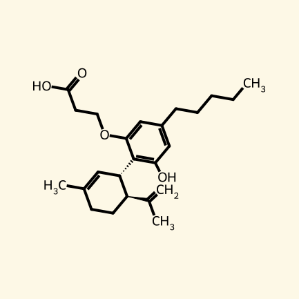 C=C(C)[C@H]1CCC(C)=C[C@@H]1c1c(O)cc(CCCCC)cc1OCCC(=O)O